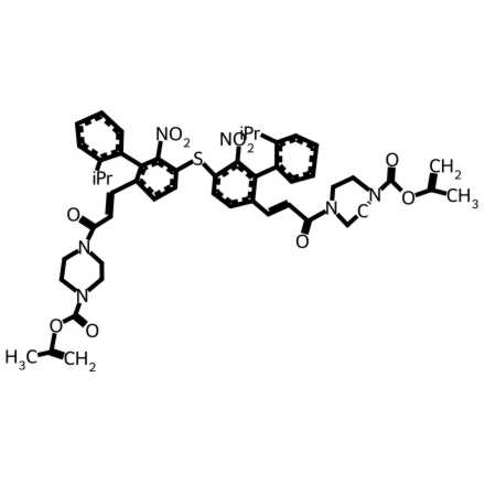 C=C(C)OC(=O)N1CCN(C(=O)/C=C/c2ccc(Sc3ccc(/C=C/C(=O)N4CCN(C(=O)OC(=C)C)CC4)c(-c4ccccc4C(C)C)c3[N+](=O)[O-])c([N+](=O)[O-])c2-c2ccccc2C(C)C)CC1